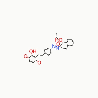 CCCOC1(/N=N/c2ccc(CCC3=C(O)C(=O)C=CC3=O)cc2)C=Cc2ccccc2C1O